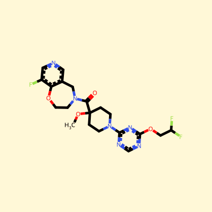 COC1(C(=O)N2CCOc3c(F)cncc3C2)CCN(c2ncnc(OCC(F)F)n2)CC1